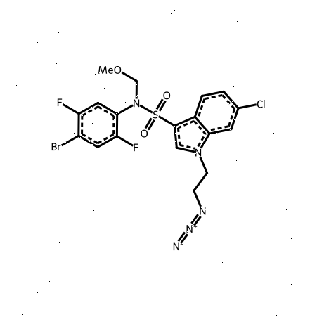 COCN(c1cc(F)c(Br)cc1F)S(=O)(=O)c1cn(CCN=[N+]=[N-])c2cc(Cl)ccc12